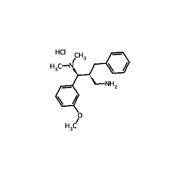 COc1cccc([C@H]([C@H](CN)Cc2ccccc2)N(C)C)c1.Cl